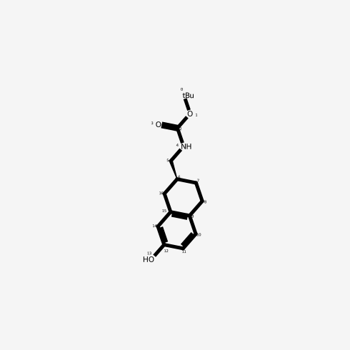 CC(C)(C)OC(=O)NC[C@H]1CCc2ccc(O)cc2C1